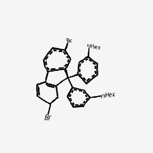 CCCCCCc1cccc(C2(c3cccc(CCCCCC)c3)C3=C(C=CC(Br)C3)c3ccc(Br)cc32)c1